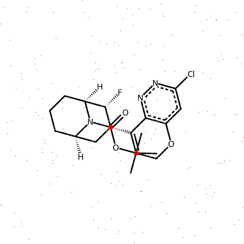 CC(C)(C)OC(=O)N1[C@@H]2CCC[C@H]1[C@H](F)[C@H](C1=CCOc3cc(Cl)nnc31)C2